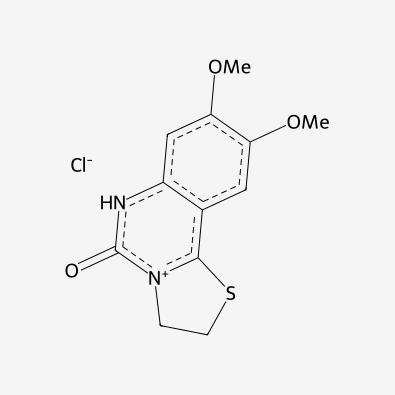 COc1cc2[nH]c(=O)[n+]3c(c2cc1OC)SCC3.[Cl-]